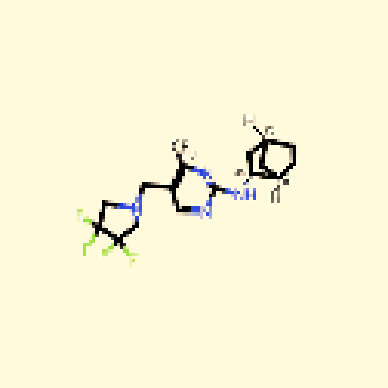 FC(F)(F)c1nc(N[C@@H]2C[C@H]3CC[C@@H]2C3)ncc1CN1CC(F)(F)C(F)(F)C1